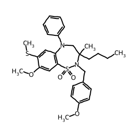 CCCCC1(C)CN(c2ccccc2)c2cc(SC)c(OC)cc2S(=O)(=O)N1Cc1ccc(OC)cc1